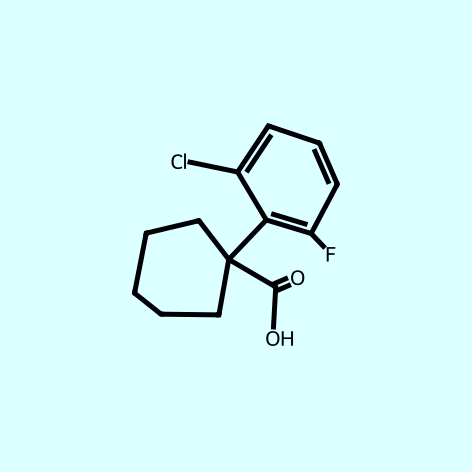 O=C(O)C1(c2c(F)cccc2Cl)CCCCC1